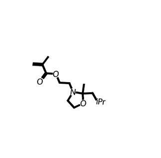 C=C(C)C(=O)OCCN1CCOC1(C)CC(C)C